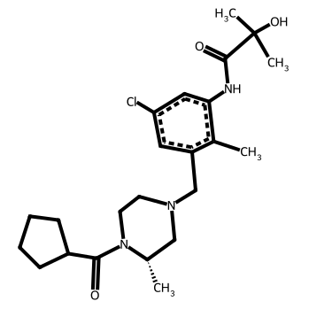 Cc1c(CN2CCN(C(=O)C3CCCC3)[C@@H](C)C2)cc(Cl)cc1NC(=O)C(C)(C)O